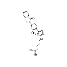 CCN(CC)CCCCNc1nnc(-c2ccc(NC(=O)c3ccccc3)cc2C(F)(F)F)o1